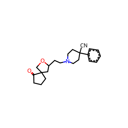 N#CC1(c2ccccc2)CCN(CCC2CC3(CCCC3=O)CO2)CC1